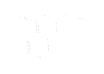 COCc1nc(N)c2ccncc2n1